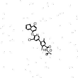 Cc1cc(C(=O)NS(C)(=O)=O)c(F)cc1-c1cnc(Oc2ccc(Cl)c3ccccc23)c(Cl)c1